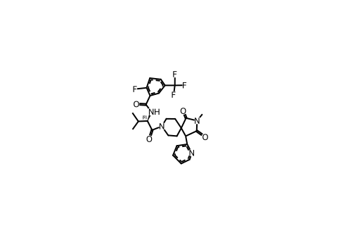 CC(C)[C@@H](NC(=O)c1cc(C(F)(F)F)ccc1F)C(=O)N1CCC2(CC1)C(=O)N(C)C(=O)C2c1ccccn1